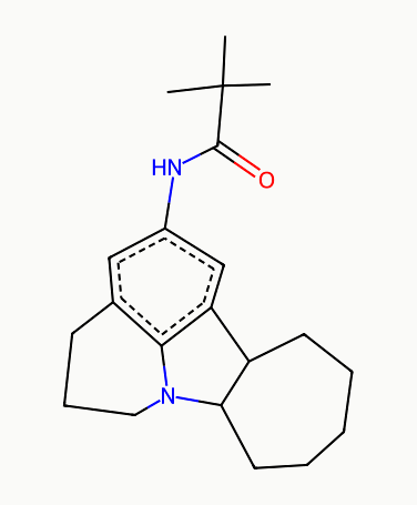 CC(C)(C)C(=O)Nc1cc2c3c(c1)C1CCCCCC1N3CCC2